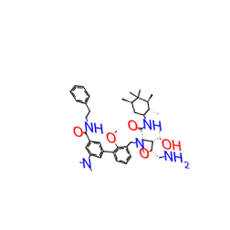 COc1c(CN2O[C@@H](CN)[C@@H]([C@H](C)O)[C@H]2C(=O)N[C@H]2C[C@@H](C)C(C)(C)[C@@H](C)[C@@H]2C)cccc1-c1cc(C(=O)NCCc2ccccc2)cc(N(C)C)c1